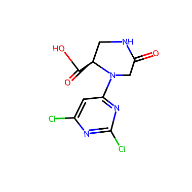 O=C1CN(c2cc(Cl)nc(Cl)n2)C(C(=O)O)CN1